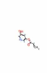 C=CC(=O)Oc1cncc(O)c1